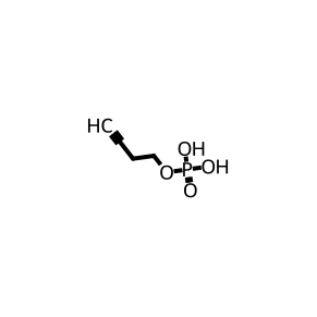 C#CCCOP(=O)(O)O